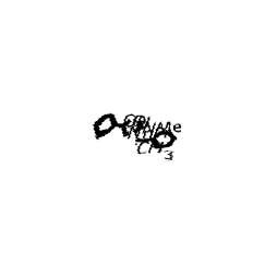 CC[CH]C(C)([CH]N(CC(O)c1ccccc1)C(=O)NC)C1=CCCCC1